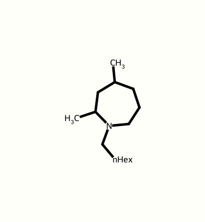 CCCCCCCN1CCCC(C)CC1C